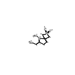 CC(C)(C)CC1CCC2(CS(=O)(=O)C2)N1C(C)(C)C